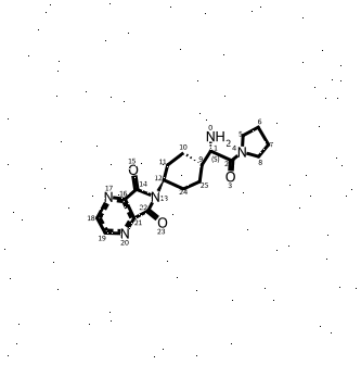 N[C@H](C(=O)N1CCCC1)[C@H]1CC[C@H](N2C(=O)c3nccnc3C2=O)CC1